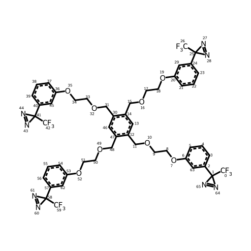 FC(F)(F)C1(c2cccc(OCCOCc3cc(COCCOc4cccc(C5(C(F)(F)F)N=N5)c4)c(COCCOc4cccc(C5(C(F)(F)F)N=N5)c4)cc3COCCOc3cccc(C4(C(F)(F)F)N=N4)c3)c2)N=N1